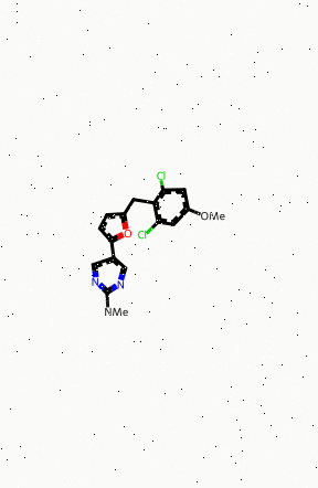 CNc1ncc(-c2ccc(Cc3c(Cl)cc(OC)cc3Cl)o2)cn1